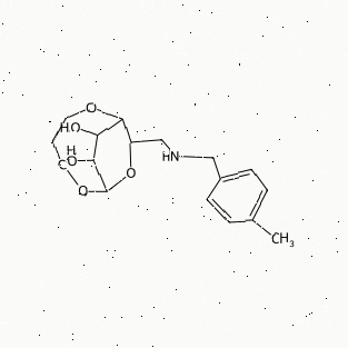 Cc1ccc(CNCC2OC3OCCCOC2C(O)C3O)cc1